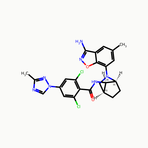 Cc1cc(N2C[C@@H]3CC[C@H]2[C@@H]3NC(=O)c2c(Cl)cc(-n3cnc(C)n3)cc2Cl)c2onc(N)c2c1